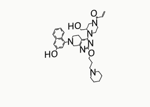 C=CC(=O)N1CCN(c2nc(OCCCN3CCCCC3)nc3c2CCN(c2cc(O)cc4ccccc24)C3)C(CO)C1